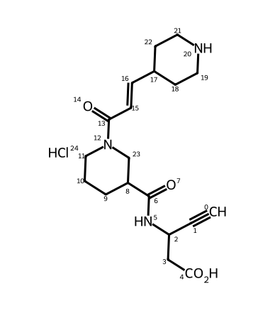 C#CC(CC(=O)O)NC(=O)C1CCCN(C(=O)/C=C/C2CCNCC2)C1.Cl